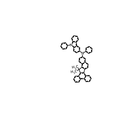 CC1(C)c2c(ccc3cc(N(c4ccccc4)c4ccc5c(c4)c4ccccc4n5-c4ccccc4)ccc23)-c2c1c1ccccc1c1ccccc21